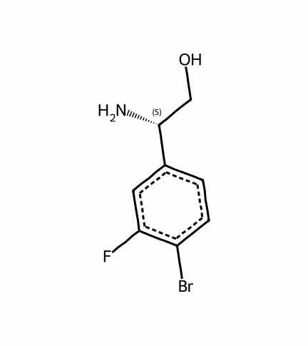 N[C@H](CO)c1ccc(Br)c(F)c1